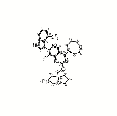 Fc1c(-c2c[nH]c3cccc(C(F)(F)F)c23)ncc2c(N3CCCOCC3)nc(OC[C@@]34CCCN3C[C@H](F)C4)nc12